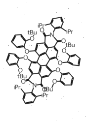 CC(C)c1cccc(C(C)C)c1N1C(=O)c2cc(Oc3ccccc3OC(C)(C)C)c3c4c(Oc5ccccc5OC(C)(C)C)cc5c6c(cc(Oc7ccccc7OC(C)(C)C)c(c7c(Oc8ccccc8OC(C)(C)C)cc(c2c37)C1=O)c64)C(=O)N(c1c(C(C)C)cccc1C(C)C)C5=O